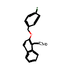 O=Cc1c(OCc2ccc(F)cc2)ccc2ccccc12